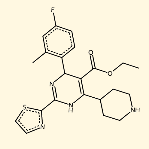 CCOC(=O)C1=C(C2CCNCC2)NC(c2nccs2)=NC1c1ccc(F)cc1C